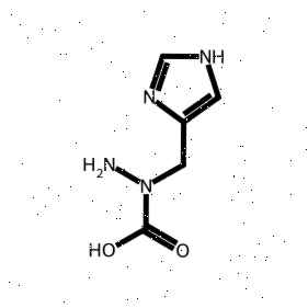 NN(Cc1c[nH]cn1)C(=O)O